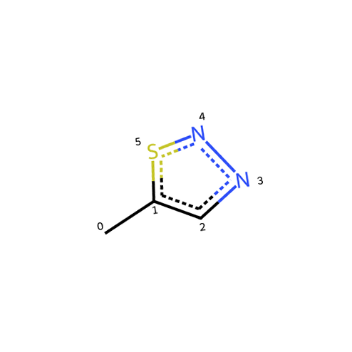 Cc1cnns1